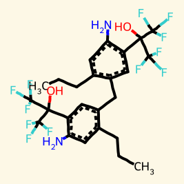 CCCc1cc(N)c(C(O)(C(F)(F)F)C(F)(F)F)cc1Cc1cc(C(O)(C(F)(F)F)C(F)(F)F)c(N)cc1CCC